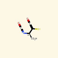 O=C=N[C@H](C(=O)O)C(S)=C=O